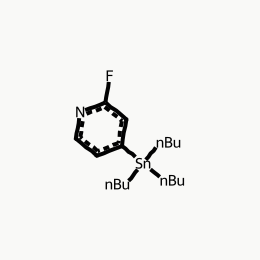 CCC[CH2][Sn]([CH2]CCC)([CH2]CCC)[c]1ccnc(F)c1